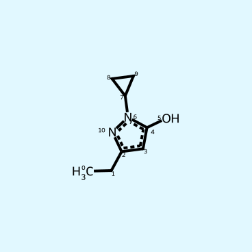 CCc1cc(O)n(C2CC2)n1